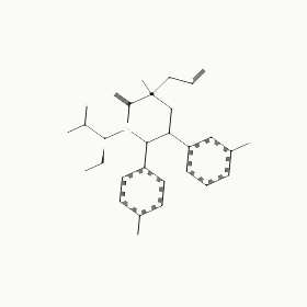 C=CCC1(C)CC(c2cccc(Cl)c2)C(c2ccc(Cl)cc2)N([C@@H](CC)C(C)O)C1=O